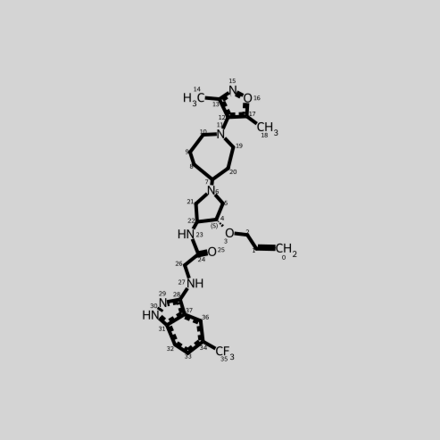 C=CCO[C@H]1CN(C2CCCN(c3c(C)noc3C)CC2)CC1NC(=O)CNc1n[nH]c2ccc(C(F)(F)F)cc12